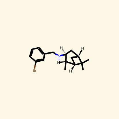 C[C@@H]1[C@@H](NCc2cccc(Br)c2)C[C@H]2C[C@@H]1C2(C)C